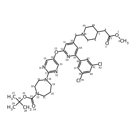 COC(=O)CC1CCN(Cc2cc(Oc3cnc(N4CCCN(C(=O)OC(C)(C)C)CC4)nc3)nc(-c3cc(Cl)cc(Cl)c3)c2)CC1